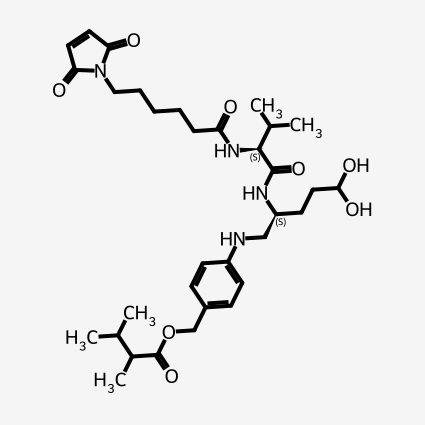 CC(C)C(C)C(=O)OCc1ccc(NC[C@H](CCC(O)O)NC(=O)[C@@H](NC(=O)CCCCCN2C(=O)C=CC2=O)C(C)C)cc1